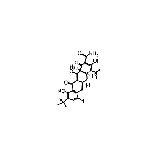 CN(C)[C@@H]1C(O)=C(C(N)=O)C(=O)[C@@]2(O)C(O)=C3C(=O)c4c(O)c(C(C)(C)C)cc(I)c4C[C@@H]3C[C@H]12